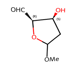 COC1C[C@H](O)[C@H](C=O)O1